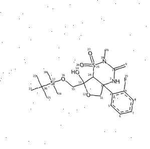 C=C1NC2(c3ccccc3F)COC(O)(CO[Si](C)(C)C(C)(C)C)C2S(=O)(=O)N1C